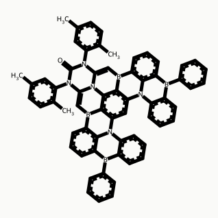 Cc1ccc(C)c(N2C(=O)N(c3cc(C)ccc3C)C3=CB4c5cccc6c5N(c5ccccc5B6c5ccccc5)c5cc6c7c(c54)N3C2=CB7c2cccc3c2N6c2ccccc2B3c2ccccc2)c1